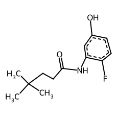 CC(C)(C)CCC(=O)Nc1cc(O)ccc1F